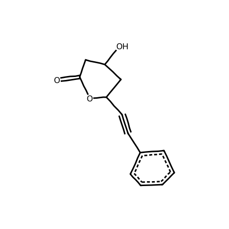 O=C1CC(O)CC(C#Cc2ccccc2)O1